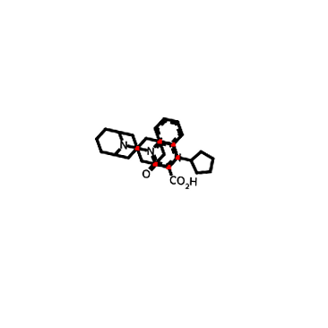 O=C(O)c1nc2ccccc2n(C2CC3CCCC(C2)N3C2CC3CC(CC(C4CCCC4)C3)C2)c1=O